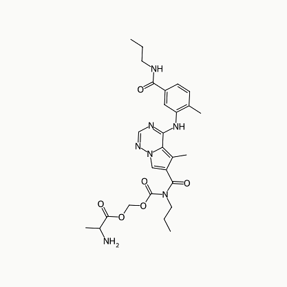 CCCNC(=O)c1ccc(C)c(Nc2ncnn3cc(C(=O)N(CCC)C(=O)OCOC(=O)C(C)N)c(C)c23)c1